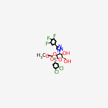 COCCO[C@@H]1[C@@H](n2cc(-c3cc(F)c(F)c(F)c3)nn2)[C@@H](O)[C@@H](CO)O[C@@H]1[S+]([O-])c1ccc(Cl)c(Cl)c1